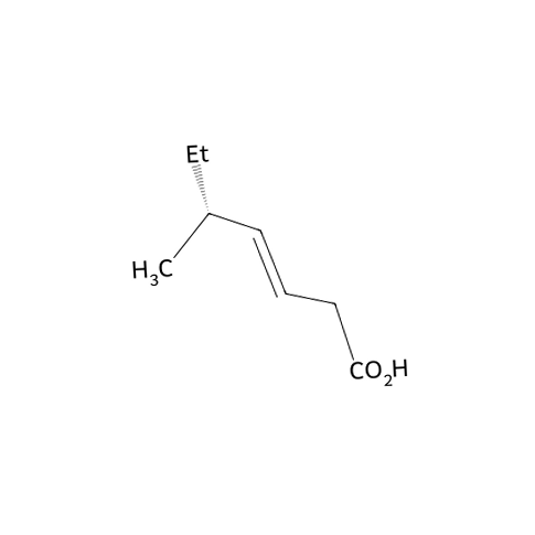 CC[C@@H](C)C=CCC(=O)O